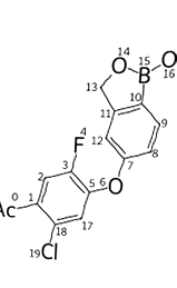 CC(=O)c1cc(F)c(Oc2ccc3c(c2)COB3O)cc1Cl